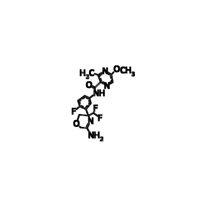 COc1cnc(C(=O)Nc2ccc(F)c(C3(C(F)F)COCC(N)=N3)c2)c(C)n1